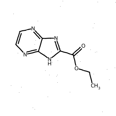 CCOC(=O)c1nc2nccnc2[nH]1